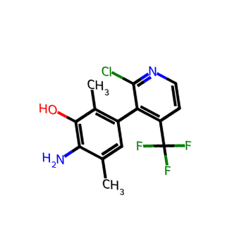 Cc1cc(-c2c(C(F)(F)F)ccnc2Cl)c(C)c(O)c1N